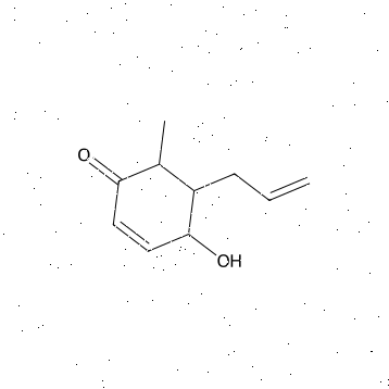 C=CCC1C(O)C=CC(=O)C1C